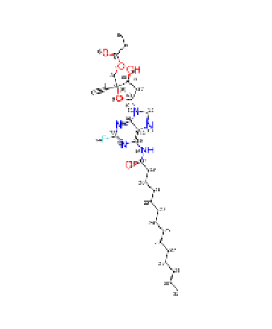 C#C[C@]1(COC(=O)CC)O[C@@H](n2cnc3c(NC(=O)CCCCCCCCCCCCC)nc(F)nc32)C[C@@H]1O